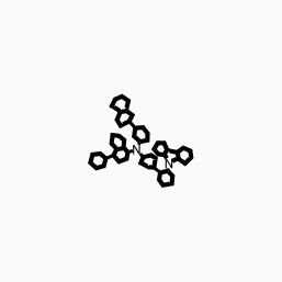 c1ccc(-c2ccc(N(c3ccc(-c4ccccc4-n4c5ccccc5c5ccccc54)cc3)c3cccc(-c4ccc5ccccc5c4)c3)c3ccccc23)cc1